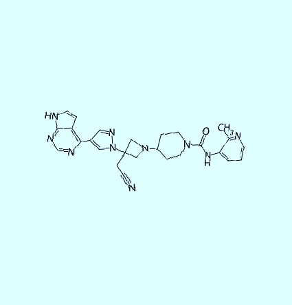 Cc1ncccc1NC(=O)N1CCC(N2CC(CC#N)(n3cc(-c4ncnc5[nH]ccc45)cn3)C2)CC1